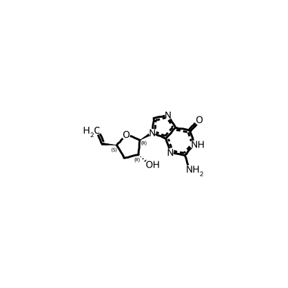 C=C[C@@H]1C[C@@H](O)[C@H](n2cnc3c(=O)[nH]c(N)nc32)O1